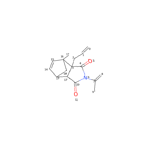 C=CCC12C(=O)N(C(=C)C)C(=O)C1C1C=CC2(C)C1